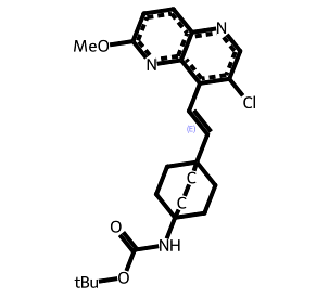 COc1ccc2ncc(Cl)c(/C=C/C34CCC(NC(=O)OC(C)(C)C)(CC3)CC4)c2n1